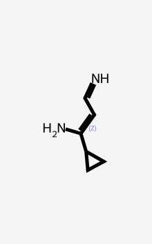 N=C/C=C(\N)C1CC1